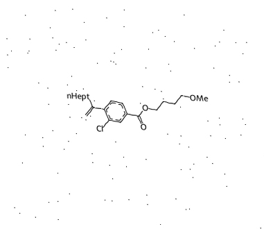 C=C(CCCCCCC)c1ccc(C(=O)OCCCCOC)cc1Cl